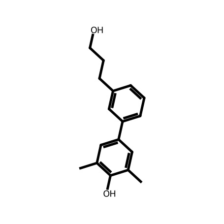 Cc1cc(-c2cccc(CCCO)c2)cc(C)c1O